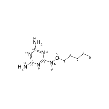 CCCCCON(C)c1nc(N)nc(N)n1